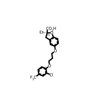 CC[C@@]1(C(=O)O)Cc2cc(OCCCOc3ccc(C(F)(F)F)cc3Cl)ccc2O1